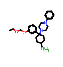 CCOCOc1cccc(C2(N3CCN(c4ccccc4)CC3)CCC(C)CC2)c1.Cl.Cl